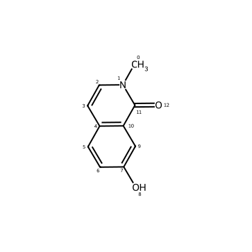 Cn1ccc2ccc(O)cc2c1=O